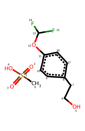 CS(=O)(=O)O.OCCc1ccc(OC(F)F)cc1